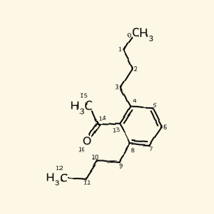 CCCCc1cccc(CCCC)c1C(C)=O